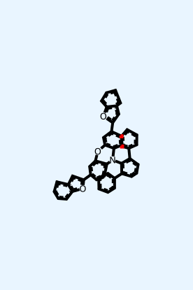 c1ccc(-c2cccc(-c3ccccc3)c2N2c3ccc(-c4cc5ccccc5o4)cc3Oc3cc(-c4cc5ccccc5o4)ccc32)cc1